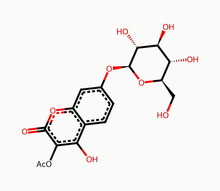 CC(=O)Oc1c(O)c2ccc(O[C@@H]3O[C@H](CO)[C@@H](O)[C@H](O)[C@H]3O)cc2oc1=O